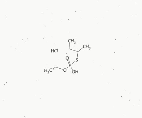 CCOP(=O)(O)SC(C)CC.Cl